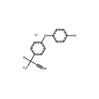 C#CC(C)([O-])c1ccc(Oc2ccc(Cl)cc2)cc1.[Li+]